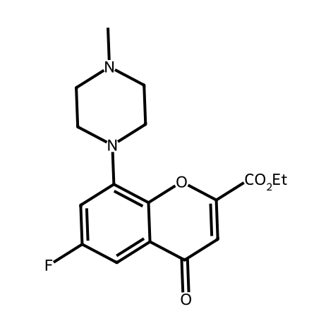 CCOC(=O)c1cc(=O)c2cc(F)cc(N3CCN(C)CC3)c2o1